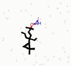 CCCC(CC)(CCC(C)(C)ONI)C1CC1(C)C